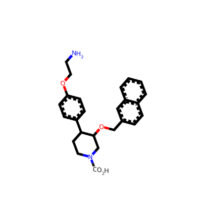 NCCOc1ccc(C2CCN(C(=O)O)CC2OCc2ccc3ccccc3c2)cc1